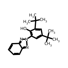 CC(C)(C)c1cc(-n2nc3ccccc3n2)c(O)c(C(C)(C)C)c1